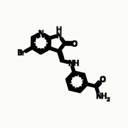 NC(=O)c1cccc(NC=C2C(=O)Nc3ncc(Br)cc32)c1